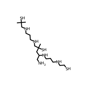 CC(C)(S)CNCCCNCC(C)(S)CC(CN)NCCCNCCS